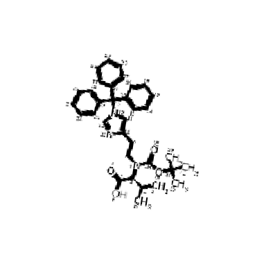 CC(C)[C@@H](C(=O)O)N(CCc1cn(C(c2ccccc2)(c2ccccc2)c2ccccc2)cn1)C(=O)OC(C)(C)C